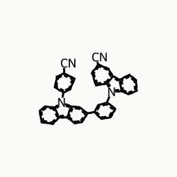 N#Cc1ccc(-n2c3ccccc3c3ccc(-c4cccc(-n5c6ccccc6c6cc(C#N)ccc65)c4)cc32)cc1